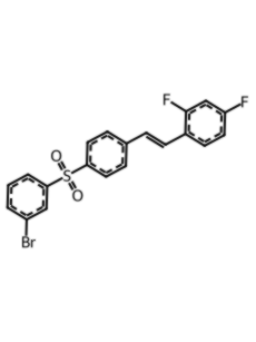 O=S(=O)(c1ccc(/C=C/c2ccc(F)cc2F)cc1)c1cccc(Br)c1